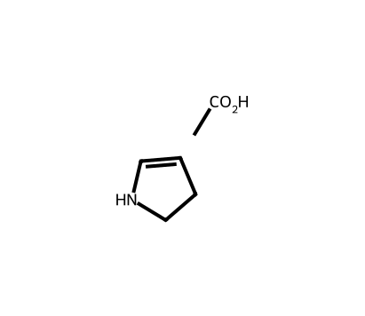 C1=CNCC1.CC(=O)O